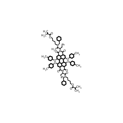 C=C(C)C(=O)OCCCCN(Cc1ccccc1)C(=C)C(CC(C)C)N1C(=O)c2cc(Oc3ccc(C)cc3)c3c4c(Oc5ccc(C)cc5)cc5c6c(cc(Oc7ccc(C)cc7)c(c7c(Oc8ccc(C)cc8)cc(c2c37)C1=O)c64)C(=O)N(C(CC(C)C)C(=O)N(CCCCOC(=O)C(=C)C)Cc1ccccc1)C5=O